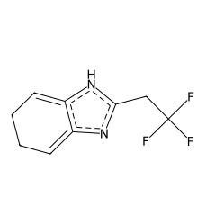 FC(F)(F)Cc1nc2c([nH]1)=CCCC=2